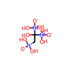 [O-][N+](O)(O)CC(O)([N+]([O-])(O)O)[N+]([O-])(O)O